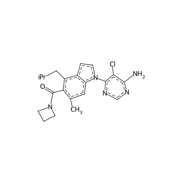 Cc1cc2c(ccn2-c2ncnc(N)c2Cl)c(CC(C)C)c1C(=O)N1CCC1